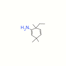 CCC1(C)C=CC(C)(C)C=C1N